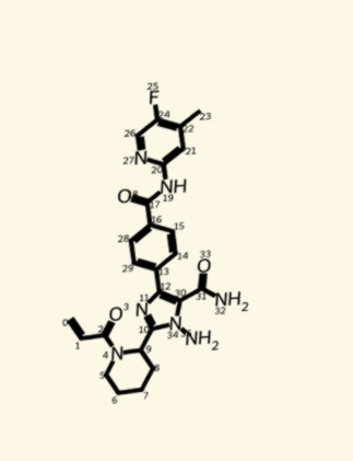 C=CC(=O)N1CCCCC1c1nc(-c2ccc(C(=O)Nc3cc(C)c(F)cn3)cc2)c(C(N)=O)n1N